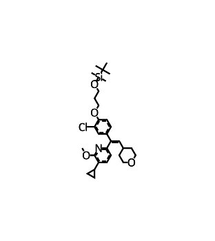 COc1nc(/C(=C\C2CCOCC2)c2ccc(OCCCO[Si](C)(C)C(C)(C)C)c(Cl)c2)ccc1C1CC1